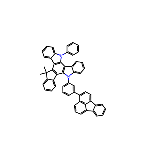 CC1(C)c2ccccc2-c2c1c1c3ccccc3n(-c3ccccc3)c1c1c3ccccc3n(-c3cccc(-c4ccc5c6c(cccc46)-c4ccccc4-5)c3)c21